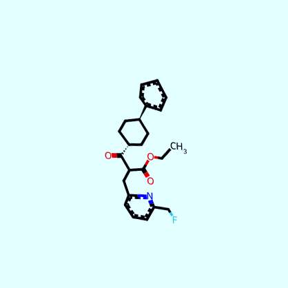 CCOC(=O)C(Cc1cccc(CF)n1)C(=O)[C@H]1CC[C@H](c2ccccc2)CC1